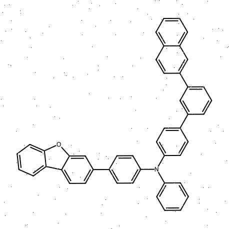 c1ccc(N(c2ccc(-c3cccc(-c4ccc5ccccc5c4)c3)cc2)c2ccc(-c3ccc4c(c3)oc3ccccc34)cc2)cc1